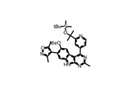 COc1cc2c(cc1-c1c(C)noc1C)[nH]c1nc(C)nc(-c3ccnc(C(C)(C)O[Si](C)(C)C(C)(C)C)c3)c12